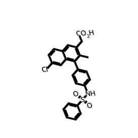 Cc1c(CC(=O)O)cc2ccc(Cl)cc2c1-c1ccc(NS(=O)(=O)c2ccccc2)cc1